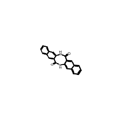 O=C1Nc2cc3ccccc3cc2C(=O)Nc2cc3ccccc3cc21